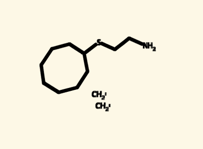 NCCS[C]1CCCCCCC1.[CH2].[CH2]